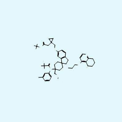 COC(=O)C1(N(C(=O)C(F)(F)F)c2cccc(Cl)c2)CCC2(CC1)c1cc(OCC3(CC(=O)OC(C)(C)C)CC3)ccc1C[C@@H]2C[C@@H](C)COc1ccnc2c1[C@H](C)CCC2